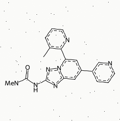 CNC(=O)Nc1nc2cc(-c3cccnc3)cc(-c3ncccc3C)n2n1